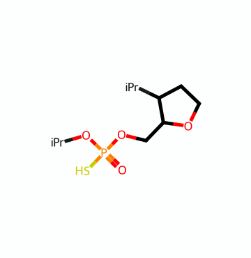 CC(C)OP(=O)(S)OCC1OCCC1C(C)C